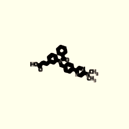 CN(C)c1cnc(-c2ccc(CN(C(=O)C3CCCCC3)c3cccc(C=CC(=O)O)c3)cc2)cn1